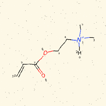 [2H][N+](C)(C)CCOC(=O)C=C